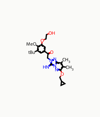 COc1c(OCCO)cc(C(=O)Cn2nc3c(C)c(C)c(OCC4CC4)nn3c2=N)cc1C(C)(C)C